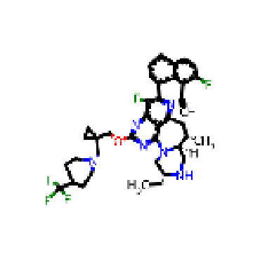 C#Cc1c(F)ccc2cccc(-c3nc4c5c(nc(OCC6(CN7CCC(C(F)(F)F)CC7)CC6)nc5c3F)N3C[C@@H](CC)NC[C@@H]3[C@@H](C)C4)c12